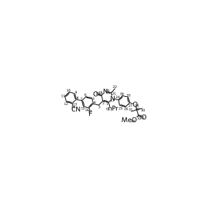 CCCc1c(Cc2ccc(-c3ccccc3C#N)cc2F)c(=O)nc(C)n1-c1ccc(OC(C)(C)C(=O)OC)cc1